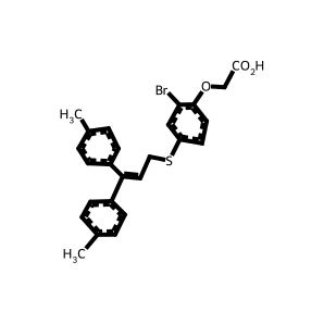 Cc1ccc(C(=CCSc2ccc(OCC(=O)O)c(Br)c2)c2ccc(C)cc2)cc1